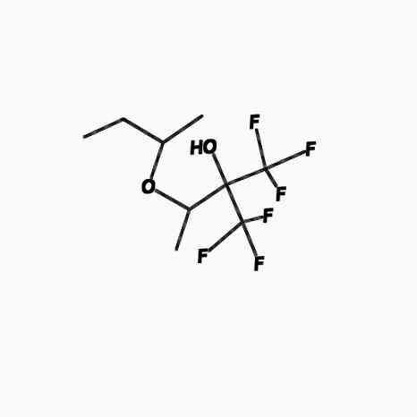 CCC(C)OC(C)C(O)(C(F)(F)F)C(F)(F)F